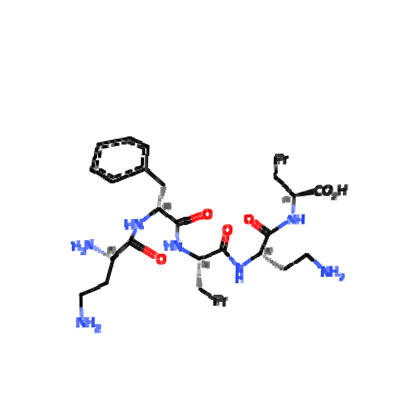 CC(C)C[C@H](NC(=O)[C@H](CCN)NC(=O)[C@H](CC(C)C)NC(=O)[C@@H](Cc1ccccc1)NC(=O)[C@@H](N)CCN)C(=O)O